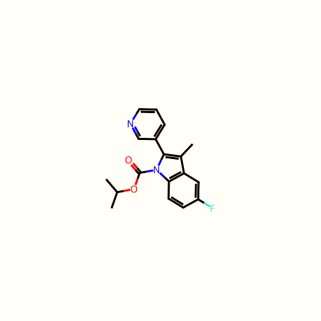 Cc1c(-c2cccnc2)n(C(=O)OC(C)C)c2ccc(F)cc12